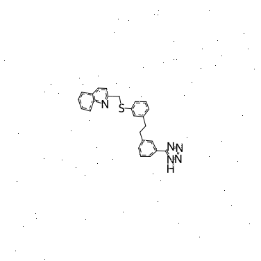 c1cc(CCc2cccc(-c3nnn[nH]3)c2)cc(SCc2ccc3ccccc3n2)c1